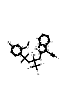 COc1cc(F)ccc1C(C)(C)CC(O)(Cc1[nH]c2ccccc2c1C#N)C(F)(F)F